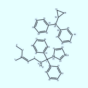 CCC(C)=CC[SiH2]C(c1ccccc1)(c1ccccc1)n1ccnc1.c1ccc(B(c2ccccc2)C2CC2)cc1